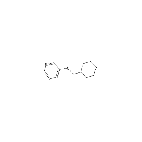 [c]1cncc(OCC2CCCCC2)c1